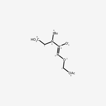 CC(=O)OCO/N=[N+](\[O-])N(CC(=O)O)C(C)(C)C